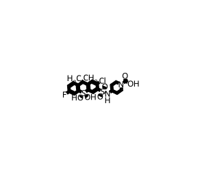 CC1(C)c2ccc(F)cc2S(O)(O)c2cc(S(=O)(=O)NC3CCN(C(=O)O)CC3)c(Cl)cc21